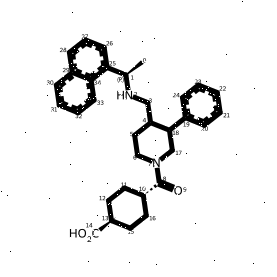 C[C@@H](NCC1CCN(C(=O)[C@H]2CC[C@H](C(=O)O)CC2)CC1c1ccccc1)c1cccc2ccccc12